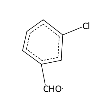 O=[C]c1cccc(Cl)c1